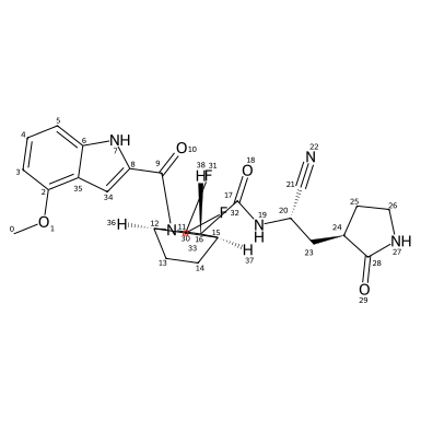 COc1cccc2[nH]c(C(=O)N3[C@@H]4CC[C@H]([C@H]3C(=O)N[C@H](C#N)C[C@H]3CCNC3=O)C(F)(F)C4)cc12